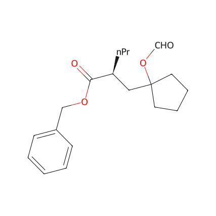 CCC[C@@H](CC1(OC=O)CCCC1)C(=O)OCc1ccccc1